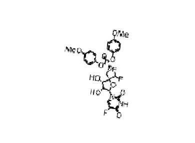 COc1ccc(OP(=O)(OC[C@@]2(C(F)F)O[C@@H](n3cc(F)c(=O)[nH]c3=O)[C@@H](O)[C@@H]2O)Oc2ccc(OC)cc2)cc1